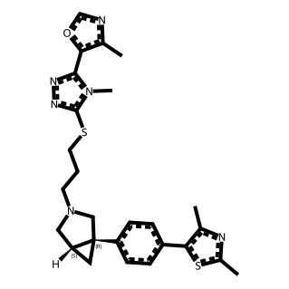 Cc1nc(C)c(-c2ccc([C@@]34C[C@@H]3CN(CCCSc3nnc(-c5ocnc5C)n3C)C4)cc2)s1